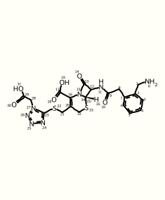 NCc1ccccc1CC(=O)NC1C(=O)N2C(C(=O)O)=C(CSc3nnnn3CC(=O)O)CS[C@@H]12